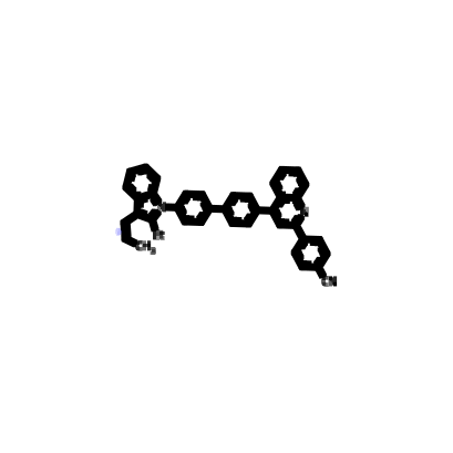 C/C=C\c1c(CC)n(-c2ccc(-c3ccc(-c4cc(-c5ccc(C#N)cc5)nc5ccccc45)cc3)cc2)c2ccccc12